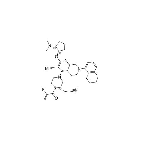 C=C(F)C(=O)N1CCN(c2c(C#N)c(O[C@@H]3CCC[C@H]3N(C)C)nc3c2CCN(c2cccc4c2CCCC4)C3)C[C@@H]1CC#N